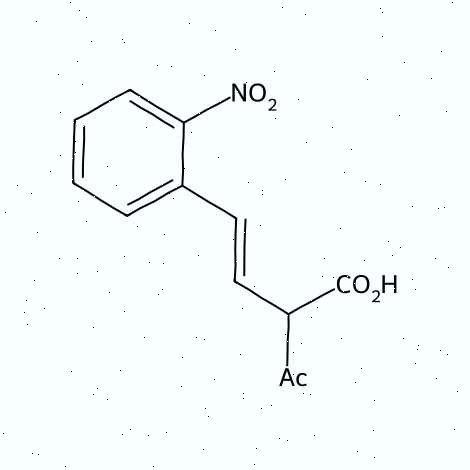 CC(=O)C(C=Cc1ccccc1[N+](=O)[O-])C(=O)O